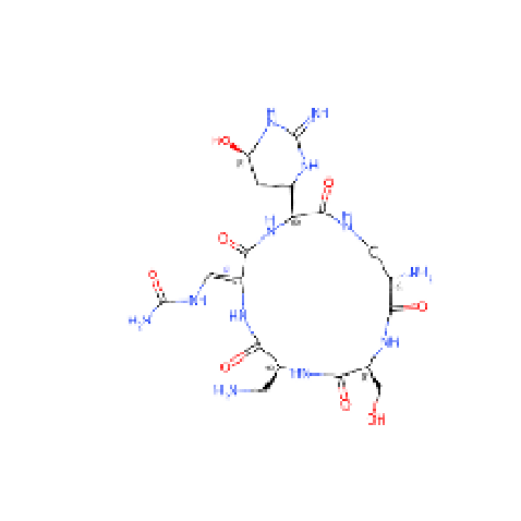 N=C1NC([C@@H]2NC(=O)/C(=C/NC(N)=O)NC(=O)[C@H](CN)NC(=O)[C@H](CO)NC(=O)[C@@H](N)CNC2=O)C[C@@H](O)N1